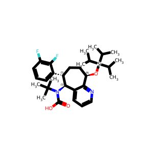 CC(C)[Si](O[C@@H]1CC[C@@H](c2cccc(F)c2F)[C@H](N(C(=O)O)C(C)(C)C)c2cccnc21)(C(C)C)C(C)C